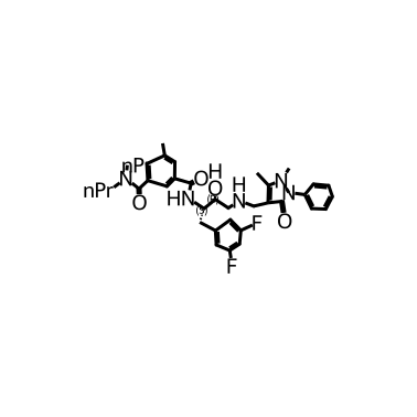 CCCN(CCC)C(=O)c1cc(C)cc(C(=O)N[C@@H](Cc2cc(F)cc(F)c2)[C@H](O)CNCc2c(C)n(C)n(-c3ccccc3)c2=O)c1